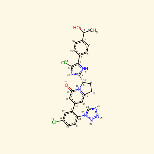 CC(O)c1ccc(-c2[nH]c([C@@H]3CCc4cc(-c5cc(Cl)ccc5-n5cnnn5)cc(=O)n43)nc2Cl)cc1